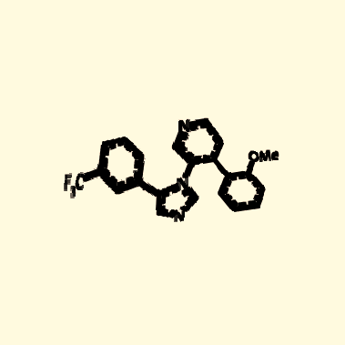 COc1ccccc1-c1ccncc1-n1cncc1-c1cccc(C(F)(F)F)c1